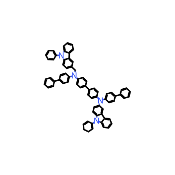 C1=CC(n2c3ccccc3c3cc(N(c4ccc(-c5ccccc5)cc4)c4ccc(-c5ccc(N(Cc6ccc7c(c6)c6ccccc6n7-c6ccccc6)c6ccc(-c7ccccc7)cc6)cc5)cc4)ccc32)=CCC1